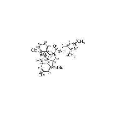 Cc1nn(C)cc1CNC(=O)N1C[C@@H](CC(C)(C)C)[C@@]2(C(=O)Nc3cc(Cl)ccc32)[C@H]1c1cccc(Cl)c1F